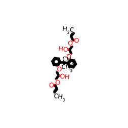 CC=CC(=O)OCC(O)COc1ccccc1C(C)(C)c1ccccc1OCC(O)COC(=O)C=CC